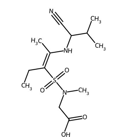 CC/C(=C(\C)NC(C#N)C(C)C)S(=O)(=O)N(C)CC(=O)O